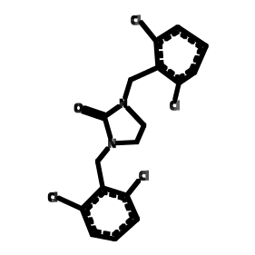 O=C1N(Cc2c(Cl)cccc2Cl)CCN1Cc1c(Cl)cccc1Cl